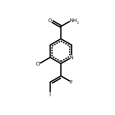 NC(=O)c1cnc(C(F)=CI)c(Cl)c1